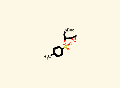 CCCCCCCCCCCC(OS(=O)(=O)c1ccc(C)cc1)C1CO1